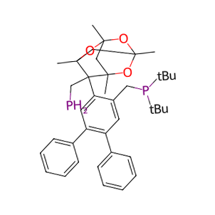 CC12CC3(C)OC(C)(CC(C)(O1)C3(CP)c1cc(-c3ccccc3)c(-c3ccccc3)cc1CP(C(C)(C)C)C(C)(C)C)O2